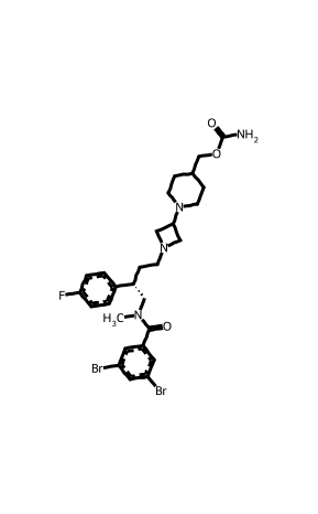 CN(C[C@@H](CCN1CC(N2CCC(COC(N)=O)CC2)C1)c1ccc(F)cc1)C(=O)c1cc(Br)cc(Br)c1